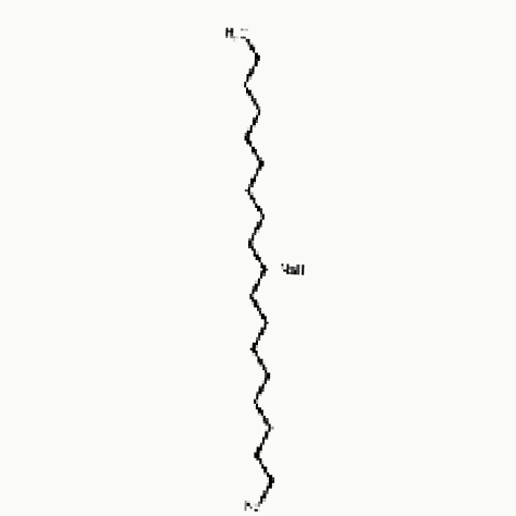 CCCCCCCCCCCCCCCCC[CH2][Na].[NaH]